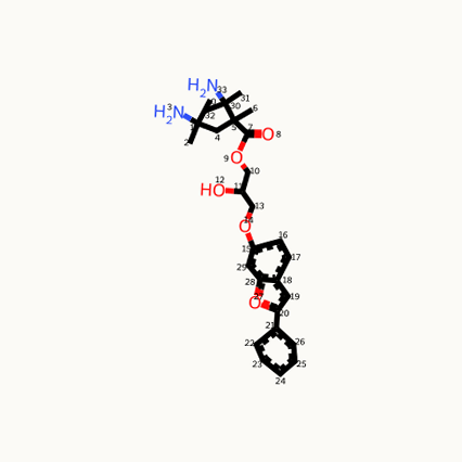 CC(C)(N)CC(C)(C(=O)OCC(O)COc1ccc2cc(-c3ccccc3)oc2c1)C(C)(C)N